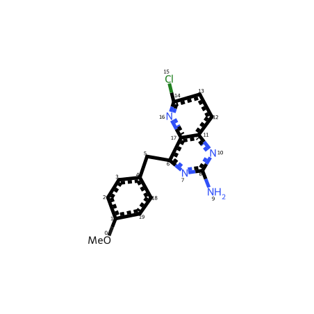 COc1ccc(Cc2nc(N)nc3ccc(Cl)nc23)cc1